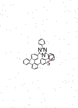 c1ccc(-c2nc(-c3ccccc3)nc(-c3ccc4c5ccccc5c5cccc(-c6ccc7c(c6)sc6ccccc67)c5c4c3)n2)cc1